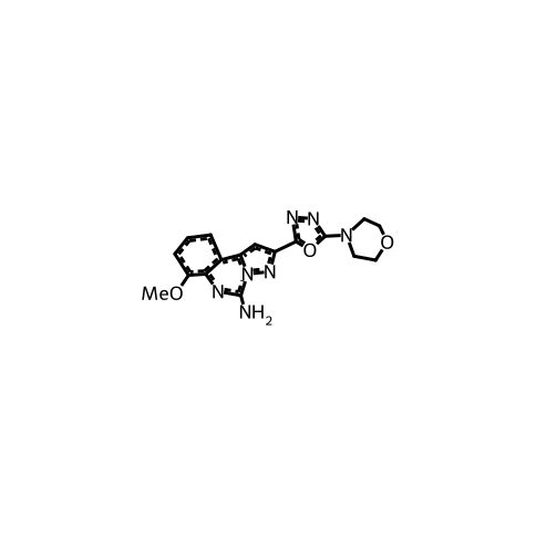 COc1cccc2c1nc(N)n1nc(-c3nnc(N4CCOCC4)o3)cc21